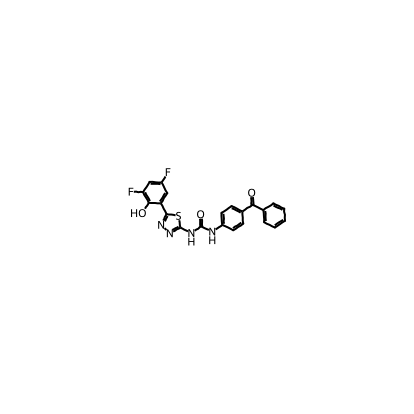 O=C(Nc1ccc(C(=O)c2ccccc2)cc1)Nc1nnc(-c2cc(F)cc(F)c2O)s1